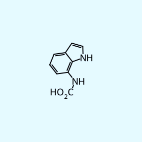 O=C(O)Nc1cccc2cc[nH]c12